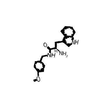 COc1ccc(CNC(=O)[C@H](N)Cc2c[nH]c3ccccc23)cc1